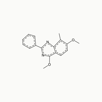 COc1ccc2c(OC)nc(-c3ccccc3)nc2c1C